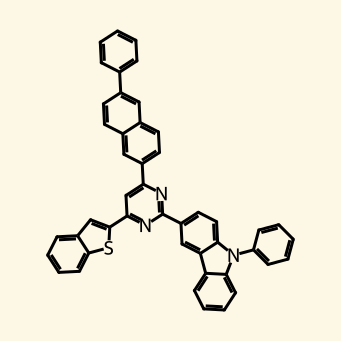 c1ccc(-c2ccc3cc(-c4cc(-c5cc6ccccc6s5)nc(-c5ccc6c(c5)c5ccccc5n6-c5ccccc5)n4)ccc3c2)cc1